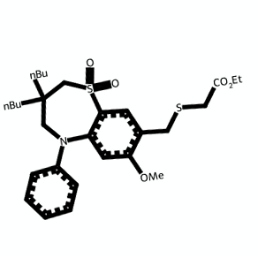 CCCCC1(CCCC)CN(c2ccccc2)c2cc(OC)c(CSCC(=O)OCC)cc2S(=O)(=O)C1